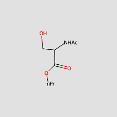 CCCOC(=O)C(CO)NC(C)=O